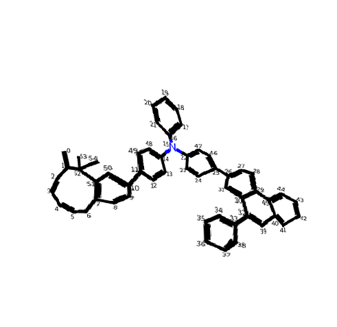 C=C1/C=C\C=C/Cc2ccc(-c3ccc(N(c4ccccc4)c4ccc(-c5ccc6c(c5)c(-c5ccccc5)cc5ccccc56)cc4)cc3)cc2C1(C)C